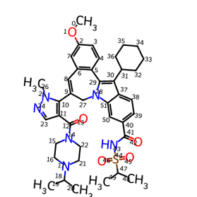 COc1ccc2c(c1)C=C(c1c(C(=O)N3CCN(C(C)C)CC3)cnn1C)Cn1c-2c(C2CCCCC2)c2ccc(C(=O)NS(=O)(=O)C(C)C)cc21